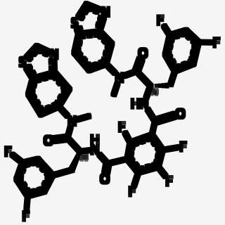 CN(C(=O)[C@H](Cc1cc(F)cc(F)c1)NC(=O)c1c(F)c(F)c(F)c(C(=O)N[C@@H](Cc2cc(F)cc(F)c2)C(=O)N(C)c2ccc3scnc3c2)c1F)c1ccc2scnc2c1